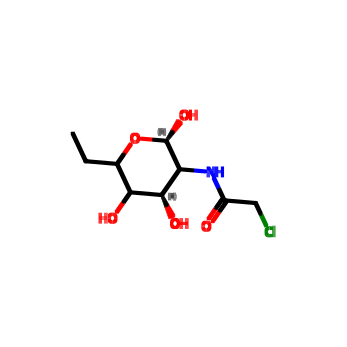 CCC1O[C@@H](O)C(NC(=O)CCl)[C@@H](O)C1O